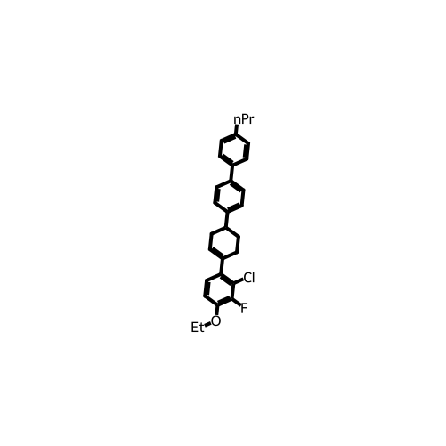 CCCc1ccc(-c2ccc(C3CC=C(c4ccc(OCC)c(F)c4Cl)CC3)cc2)cc1